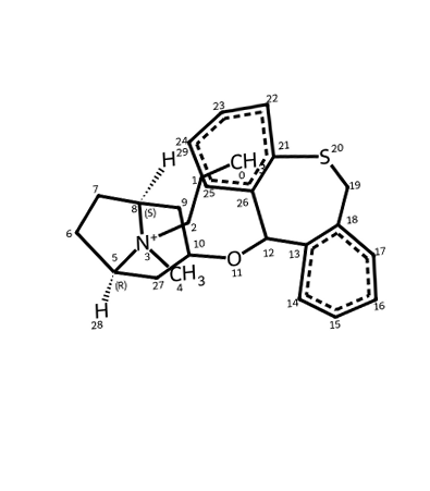 CCC[N+]1(C)[C@@H]2CC[C@H]1CC(OC1c3ccccc3CSc3ccccc31)C2